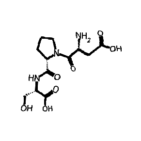 N[C@@H](CC(=O)O)C(=O)N1CCC[C@H]1C(=O)N[C@@H](CO)C(=O)O